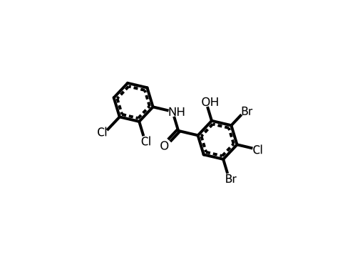 O=C(Nc1cccc(Cl)c1Cl)c1cc(Br)c(Cl)c(Br)c1O